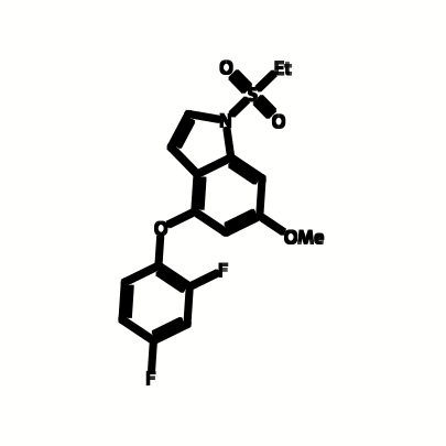 CCS(=O)(=O)n1ccc2c(Oc3ccc(F)cc3F)cc(OC)cc21